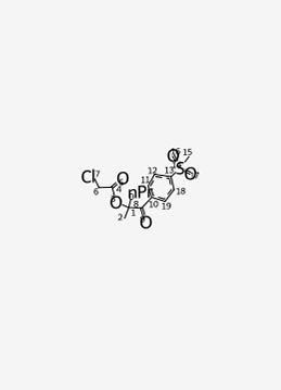 CCCC(C)(OC(=O)CCl)C(=O)c1ccc(S(C)(=O)=O)cc1